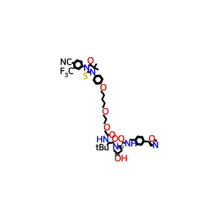 CC(C)(C)C(NC(=O)COCCCOCCCCCOc1ccc(N2C(=S)N(c3ccc(C#N)c(C(F)(F)F)c3)C(=O)C2(C)C)cc1)C(=O)N1C[C@H](O)C[C@H]1C(=O)NCc1ccc(-c2cnco2)cc1